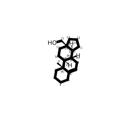 C[C@]12CCCCC1=CC[C@H]1[C@@H]3CCC[C@@]3(CO)CC[C@@H]12